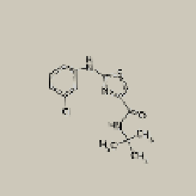 CC(C)(C)NC(=O)c1csc(Nc2cccc(Cl)c2)n1